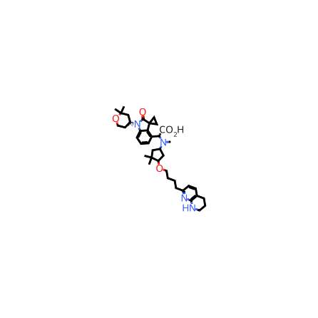 CN(C1CC(OCCCCc2ccc3c(n2)NCCC3)C(C)(C)C1)C(C(=O)O)c1cccc2c1C1(CC1)C(=O)N2[C@@H]1CCOC(C)(C)C1